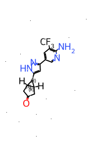 Nc1ncc(-c2cc([C@H]3[C@@H]4CC(=O)C[C@@H]43)[nH]n2)cc1C(F)(F)F